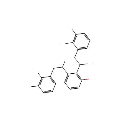 Cc1cccc(CC(C)c2cccc(O)c2C(C)Cc2cccc(C)c2C)c1C